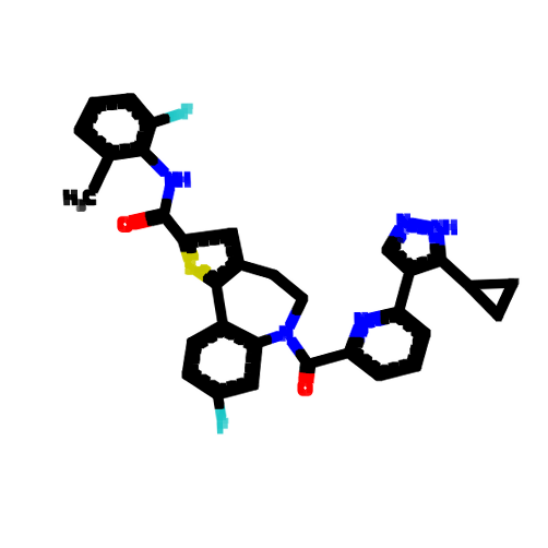 Cc1cccc(F)c1NC(=O)c1cc2c(s1)-c1ccc(F)cc1N(C(=O)c1cccc(-c3cn[nH]c3C3CC3)n1)CC2